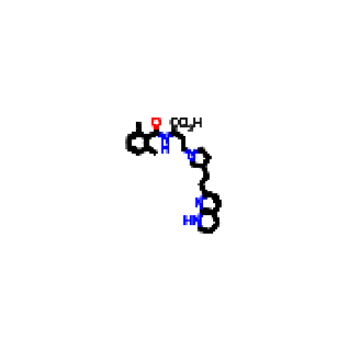 Cc1cccc(C)c1C(=O)NC(CCN1CCC(CCc2ccc3c(n2)NCCC3)C1)C(=O)O